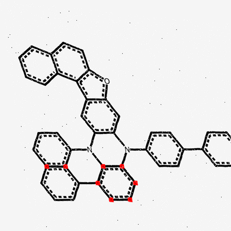 c1ccc(-c2ccc(N(c3ccccc3)c3cc4oc5ccc6ccccc6c5c4cc3N(c3ccccc3)c3ccccc3-c3ccccc3)cc2)cc1